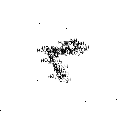 CC(C)C[C@H](N)C(=O)O.CC(C)[C@H](N)C(=O)O.CC[C@H](C)[C@H](N)C(=O)O.C[C@H](N)C(=O)O.N=C(N)NCCC[C@H](N)C(=O)O.NCC(=O)O.NCCCC[C@H](N)C(=O)O.N[C@@H](CC(=O)O)C(=O)O.N[C@@H](CC(=O)O)C(=O)O.N[C@@H](Cc1c[nH]cn1)C(=O)O.N[C@@H](Cc1ccccc1)C(=O)O